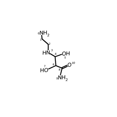 NCCNC(O)C(O)C(N)=O